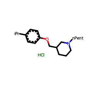 CCCCCN1CCCC(COc2ccc(C(C)C)cc2)C1.Cl